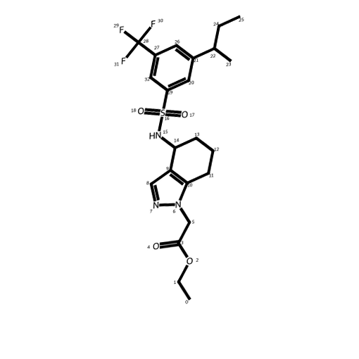 CCOC(=O)Cn1ncc2c1CCCC2NS(=O)(=O)c1cc(C(C)CC)cc(C(F)(F)F)c1